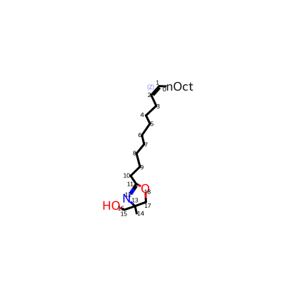 CCCCCCCC/C=C\CCCCCCCCC1=NC(C)(CO)CO1